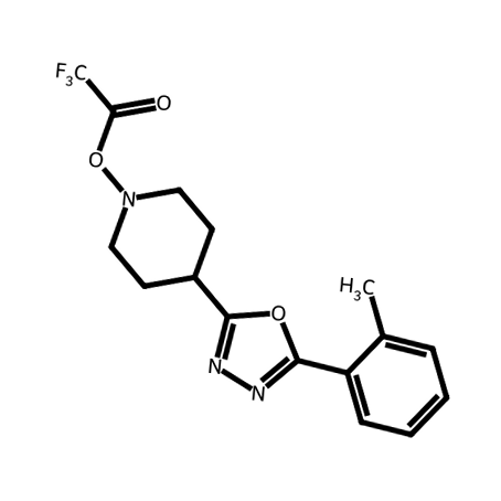 Cc1ccccc1-c1nnc(C2CCN(OC(=O)C(F)(F)F)CC2)o1